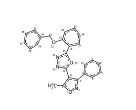 Cc1onc(-c2ccccc2)c1-c1nnc(-c2ccccc2OCc2ccccc2)o1